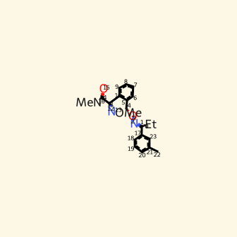 CC/C(=N\OCc1ccccc1/C(=N\OC)C(=O)NC)c1cccc(C)c1